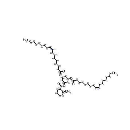 CCCCCCCC/C=C\CCCCCCCC(=O)OC1CC(OC(=O)C2CCCCN2C)C[C@H](OC(=O)CCCCCCC/C=C\CCCCCCCC)C1